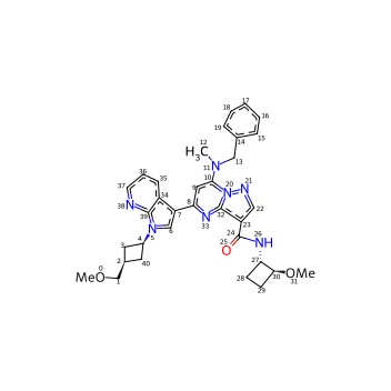 COC[C@H]1C[C@@H](n2cc(-c3cc(N(C)Cc4ccccc4)n4ncc(C(=O)N[C@H]5CC[C@@H]5OC)c4n3)c3cccnc32)C1